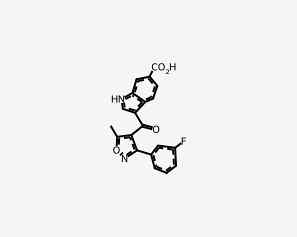 Cc1onc(-c2cccc(F)c2)c1C(=O)c1c[nH]c2cc(C(=O)O)ccc12